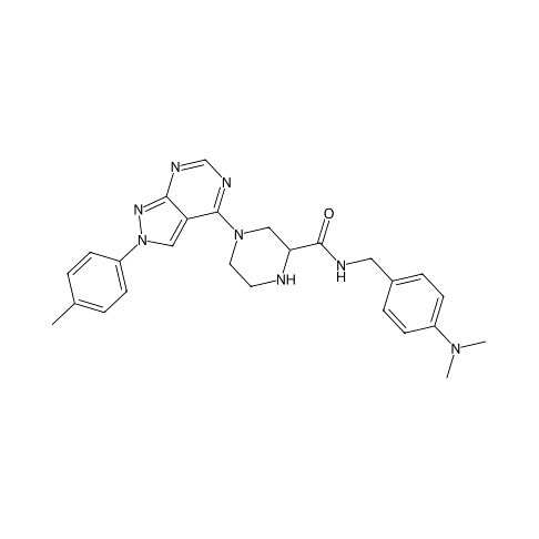 Cc1ccc(-n2cc3c(N4CCNC(C(=O)NCc5ccc(N(C)C)cc5)C4)ncnc3n2)cc1